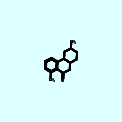 Cc1cccc2c1C(=O)CC1CCN(C)CC21